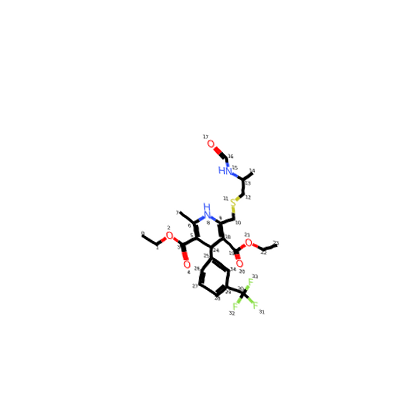 CCOC(=O)C1=C(C)NC(CSCC(C)NC=O)=C(C(=O)OCC)C1c1cccc(C(F)(F)F)c1